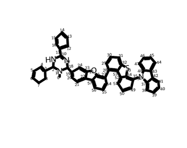 CN1C(C2=CC=CCC2)NC(c2ccccc2)=NC1c1ccc2c(c1)oc1c(-c3cccc4sc5c(-n6c7ccccc7c7ccccc76)cccc5c34)cccc12